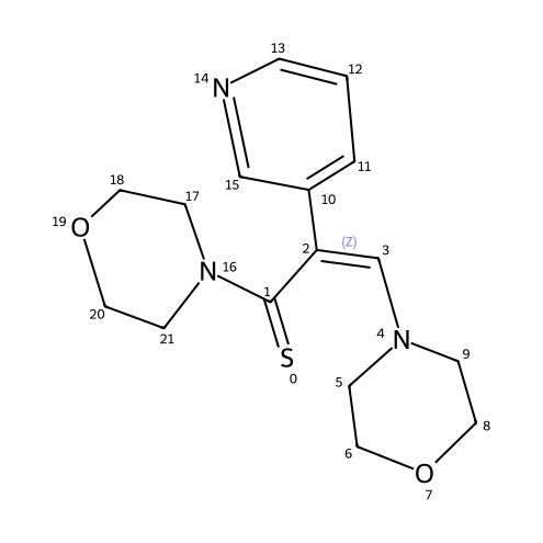 S=C(/C(=C\N1CCOCC1)c1cccnc1)N1CCOCC1